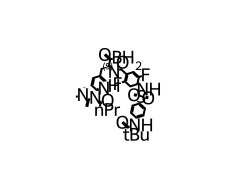 BC(=O)[C@H](Cc1ccc(N(C(=C)N(C)C)C(=O)CCC)nc1)NC(=O)C1=C(F)CC(NS(=O)(=O)c2ccc(NC(=O)C(C)(C)C)cc2)C(F)=C1